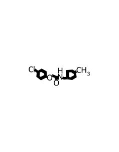 Cc1ccc(CNC(=O)COc2ccc(Cl)cc2)cc1